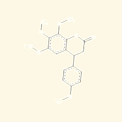 COc1ccc(C2CC(=O)Oc3c2cc(OC)c(OC)c3OC)cc1